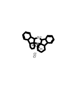 C[Si]1(C)C23CCCCC2C2C=CC=CC2[CH]3[Zr+2][CH]2C3C=CC=CC3C3CCCCC321.[Cl-].[Cl-]